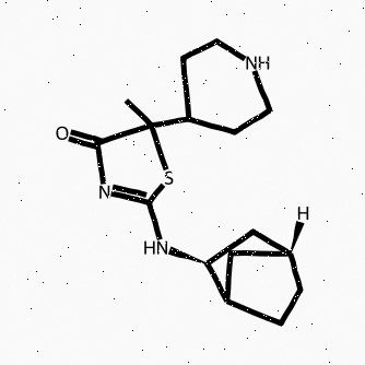 CC1(C2CCNCC2)SC(N[C@H]2C[C@@H]3CCC2C3)=NC1=O